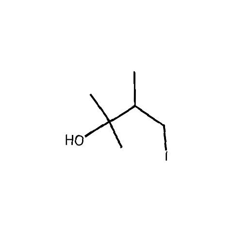 CC(CI)C(C)(C)O